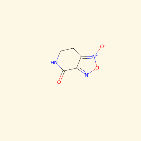 O=C1NCCc2c1no[n+]2[O-]